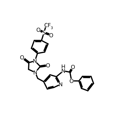 O=C(Nc1cc(CN2CC(=O)N(c3ccc(S(=O)(=O)C(F)(F)F)cc3)C2=O)ccn1)Oc1ccccc1